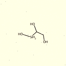 OCC(O)[SiH2]O